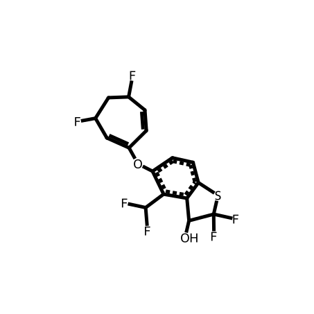 OC1c2c(ccc(OC3=CC(F)CC(F)C=C3)c2C(F)F)SC1(F)F